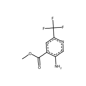 COC(=O)c1cc(C(F)(F)F)ncc1N